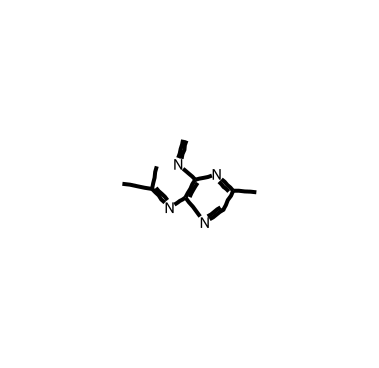 C=Nc1nc(C)cnc1N=C(C)C